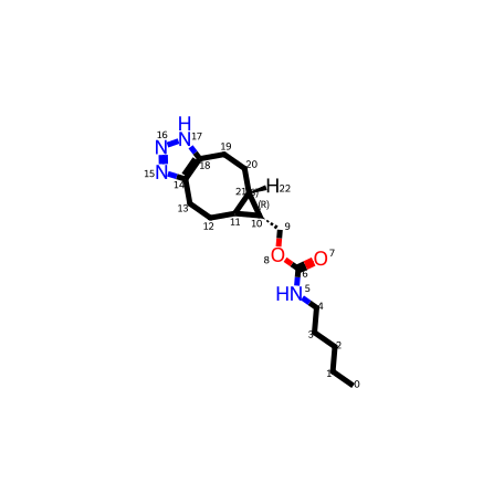 CCCCCNC(=O)OC[C@@H]1C2CCc3nn[nH]c3CC[C@@H]21